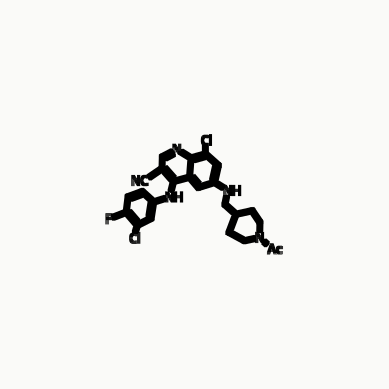 CC(=O)N1CCC(CNc2cc(Cl)c3ncc(C#N)c(Nc4ccc(F)c(Cl)c4)c3c2)CC1